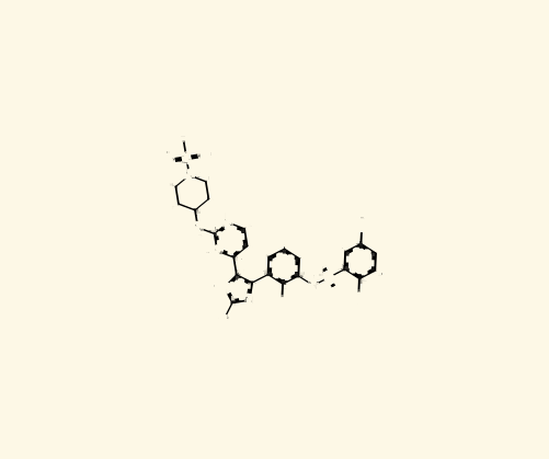 CC(C)(C)c1nc(-c2cccc(NS(=O)(=O)c3cc(F)ccc3F)c2F)c(-c2ccnc(NC3CCN(S(C)(=O)=O)CC3)n2)s1